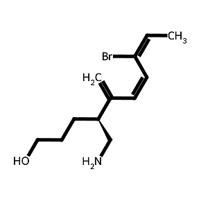 C=C(/C=C\C(Br)=C/C)[C@@H](CN)CCCO